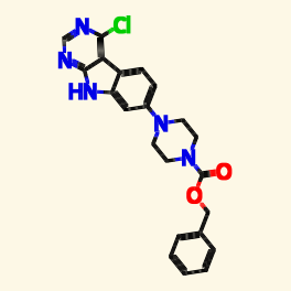 O=C(OCc1ccccc1)N1CCN(c2ccc3c(c2)[nH]c2ncnc(Cl)c23)CC1